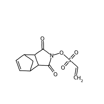 C=CS(=O)(=O)ON1C(=O)C2C3C=CC(C3)C2C1=O